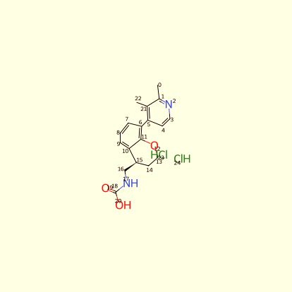 Cc1nccc(-c2cccc3c2OCC[C@H]3CNC(=O)O)c1C.Cl.Cl